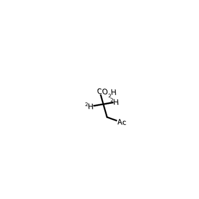 [2H]C([2H])(CC(C)=O)C(=O)O